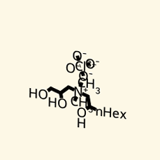 CCCCCCC(O)C[N+](C)(C)CC(O)CO.[O-][Cl+3]([O-])([O-])[O-]